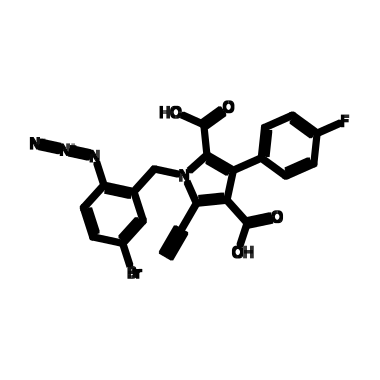 C#Cc1c(C(=O)O)c(-c2ccc(F)cc2)c(C(=O)O)n1Cc1cc(Br)ccc1N=[N+]=[N-]